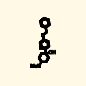 CN[C@H]1CC[C@](O)(c2ccc(OCc3ccccc3)cn2)CC1